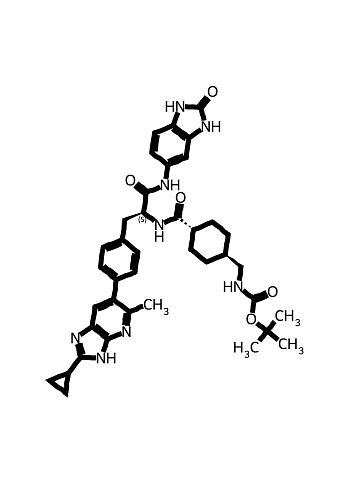 Cc1nc2[nH]c(C3CC3)nc2cc1-c1ccc(C[C@H](NC(=O)[C@H]2CC[C@H](CNC(=O)OC(C)(C)C)CC2)C(=O)Nc2ccc3[nH]c(=O)[nH]c3c2)cc1